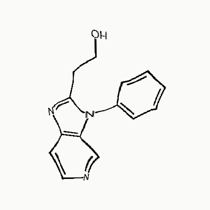 OCCc1nc2ccncc2n1-c1ccccc1